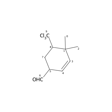 CC1(C)C=CC(C=O)CC1C(Cl)(Cl)Cl